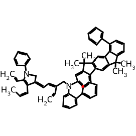 C=CC1=C(/C=C\C)/C(=C/C=C(\C=C)CN(c2ccc3c(c2)C(C)(C)c2cc4c(cc2-3)C(C)(C)c2cccc(-c3ccccc3)c2-4)c2ccccc2-c2ccccc2)CN1c1ccccc1